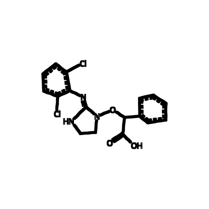 O=C(O)C(ON1CCN/C1=N\c1c(Cl)cccc1Cl)c1ccccc1